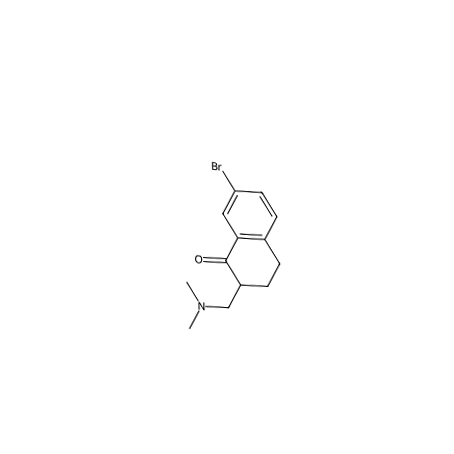 CN(C)CC1CCc2ccc(Br)cc2C1=O